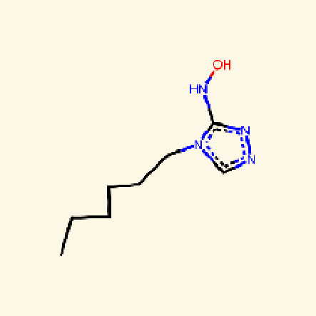 CCCCCCn1cnnc1NO